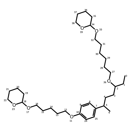 CCC(CCC(C)c1ccc(OCCCCCOC2CCCCO2)cc1)OCCCCCCOC1CCCCO1